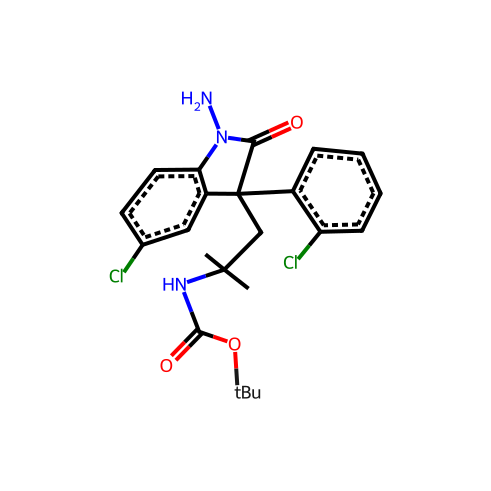 CC(C)(CC1(c2ccccc2Cl)C(=O)N(N)c2ccc(Cl)cc21)NC(=O)OC(C)(C)C